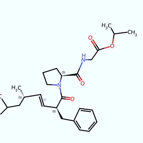 CC(C)C[C@H](C)/C=C/[C@H](Cc1ccccc1)C(=O)N1CCC[C@H]1C(=O)NCC(=O)OC(C)C